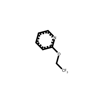 FC(F)(F)COc1[c]cccn1